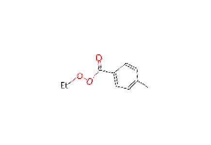 [CH2]COOC(=O)c1ccc(C)cc1